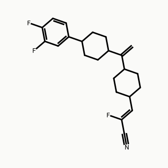 C=C(C1CCC(C=C(F)C#N)CC1)C1CCC(c2ccc(F)c(F)c2)CC1